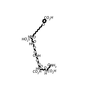 NC(=O)CC[C@H](NC(=O)CC[C@H](NC(=O)COCCOCCNC(=O)COCCOCCNC(=O)CC[C@H](NC(=O)CCCCCCCCCOc1ccc(C(=O)O)cc1)C(=O)O)C(=O)O)C(=O)O